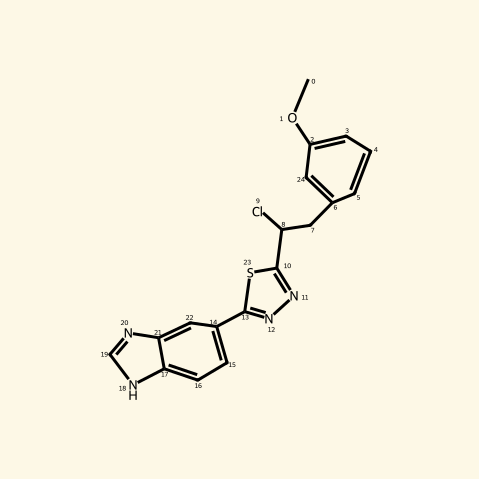 COc1cccc(CC(Cl)c2nnc(-c3ccc4[nH]cnc4c3)s2)c1